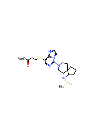 COC(=O)CCSc1cnc(N2CCC3(CCC[C@H]3N[S@+]([O-])C(C)(C)C)CC2)n2ccnc12